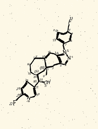 C[C@]12Cc3cnn(-c4ccc(F)cc4)c3C=C1CCC[C@@H]2[C@@H](O)c1ccc(F)nc1